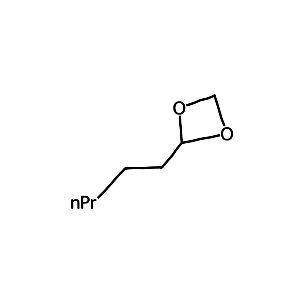 CCCCCC1OCO1